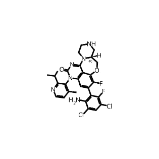 Cc1ccnc(C(C)C)c1-n1c(=O)nc2c3c(c(F)c(-c4c(N)c(Cl)cc(Cl)c4F)cc31)OC[C@H]1CNCCN21